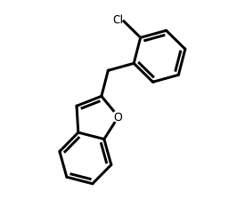 Clc1ccccc1Cc1cc2ccccc2o1